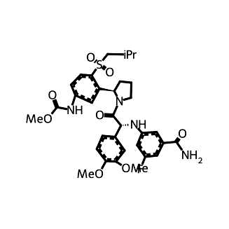 COC(=O)Nc1ccc(S(=O)(=O)CC(C)C)c([C@H]2CCCN2C(=O)[C@H](Nc2cc(F)cc(C(N)=O)c2)c2ccc(OC)c(OC)c2)c1